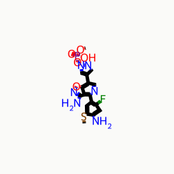 COP(=O)(O)On1cc(-c2cnc(-c3cc(SC)c(N)cc3F)c3c(N)noc23)cn1